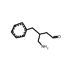 NCC(CC=O)Cc1ccccc1